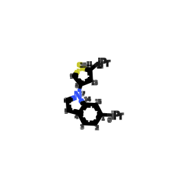 CC(C)c1ccc2ccn(-c3csc(C(C)C)c3)c2c1